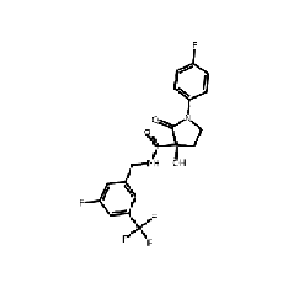 O=C(NCc1cc(F)cc(C(F)(F)F)c1)[C@@]1(O)CCN(c2ccc(F)cc2)C1=O